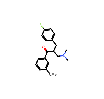 COc1cccc(C(=O)C(Cc2ccc(F)cc2)CN(C)C)c1